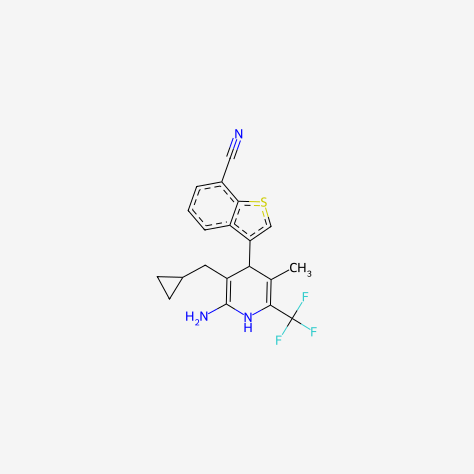 CC1=C(C(F)(F)F)NC(N)=C(CC2CC2)C1c1csc2c(C#N)cccc12